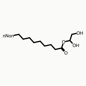 CCCCCCCCCCCCCCCCCC(=O)OC(O)CO